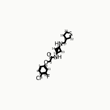 O=C(COc1ccc(Cl)c(F)c1)NC12CC(NCC3CCSC3)(C1)C2